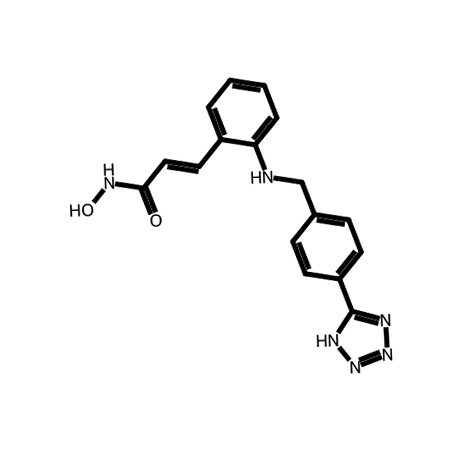 O=C(/C=C/c1ccccc1NCc1ccc(-c2nnn[nH]2)cc1)NO